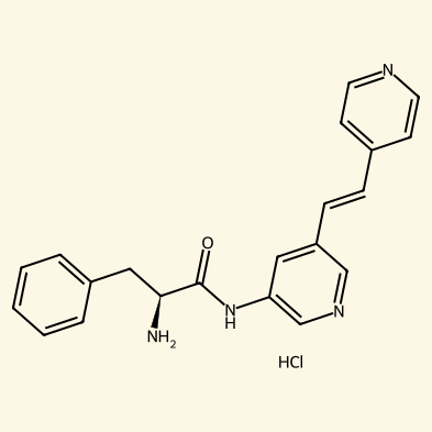 Cl.N[C@@H](Cc1ccccc1)C(=O)Nc1cncc(/C=C/c2ccncc2)c1